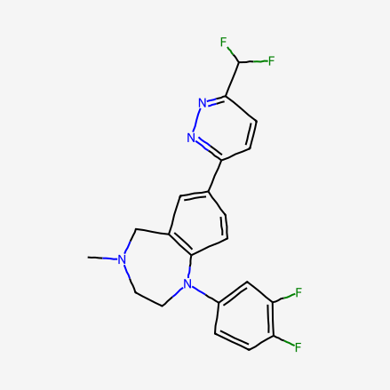 CN1CCN(c2ccc(F)c(F)c2)c2ccc(-c3ccc(C(F)F)nn3)cc2C1